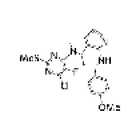 COc1ccc(CNc2ncccc2[C@@H](C)N(C)c2nc(SC)nc(Cl)c2F)cc1